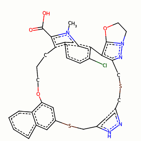 Cn1c(C(=O)O)c2c3ccc(Cl)c(c31)-c1c(nn3c1OCC3)CSCc1cc([nH]n1)CSc1cc(c3ccccc3c1)OCCC2